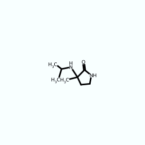 CC(C)NC1(C)CCNC1=O